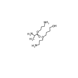 CC(N)C(=O)OCCCN.NCCCOCCCCO